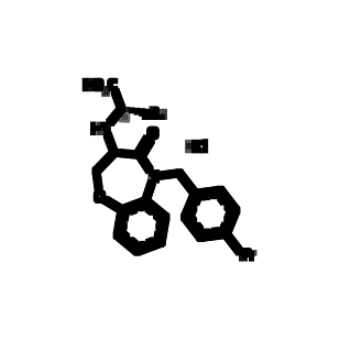 CCCC[C@H](NC1COc2ccccc2N(Cc2ccc(C(C)C)cc2)C1=O)C(=O)O.Cl